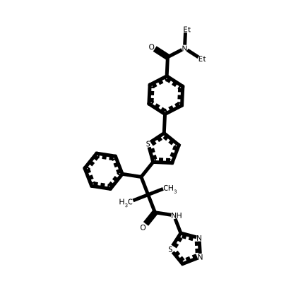 CCN(CC)C(=O)c1ccc(-c2ccc(C(c3ccccc3)C(C)(C)C(=O)Nc3nncs3)s2)cc1